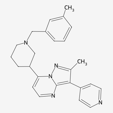 Cc1cccc(CN2CCCC(c3ccnc4c(-c5ccncc5)c(C)nn34)C2)c1